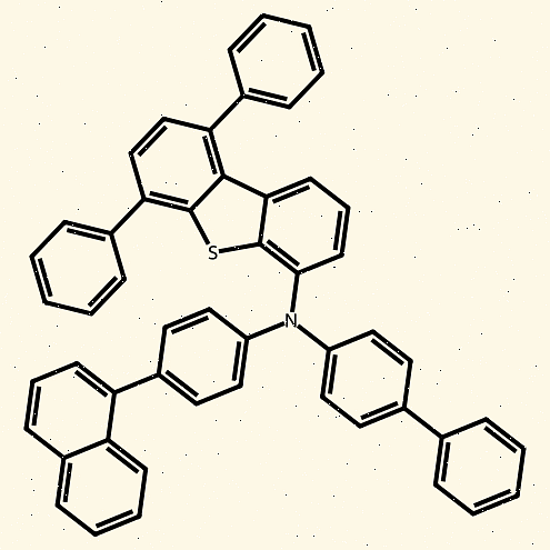 c1ccc(-c2ccc(N(c3ccc(-c4cccc5ccccc45)cc3)c3cccc4c3sc3c(-c5ccccc5)ccc(-c5ccccc5)c34)cc2)cc1